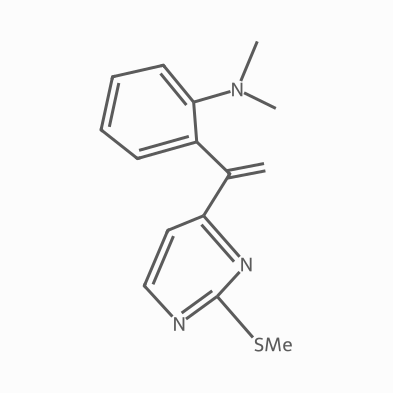 C=C(c1ccnc(SC)n1)c1ccccc1N(C)C